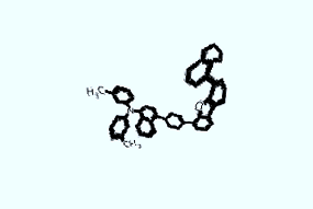 Cc1cccc(N(c2cccc(C)c2)c2ccc(C3C=CC(c4cccc5c4oc4c(-c6cccc7ccccc67)cccc45)=CC3)c3c#cccc23)c1